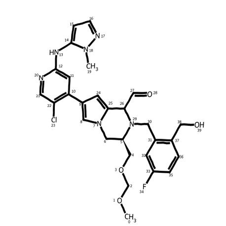 COCOC[C@H]1Cn2cc(-c3cc(Nc4ccnn4C)ncc3Cl)cc2C(C=O)N1Cc1cc(F)ccc1CO